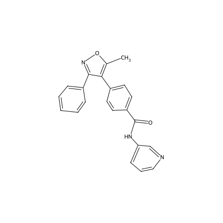 Cc1onc(-c2ccccc2)c1-c1ccc(C(=O)Nc2cccnc2)cc1